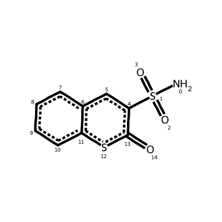 NS(=O)(=O)c1cc2ccccc2sc1=O